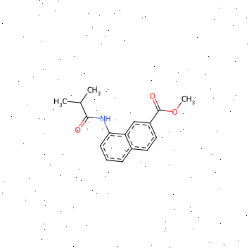 COC(=O)c1ccc2cccc(NC(=O)C(C)C)c2c1